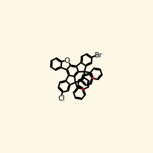 Clc1ccc2c(c1)C(c1ccccc1)(c1ccccc1)c1c3c(c4oc5ccccc5c4c1-2)-c1ccc(Br)cc1C3(c1ccccc1)c1ccccc1